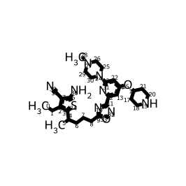 CCc1c(C(C)CCCc2nc(-c3cc(OC4CCNCC4)cc(N4CCN(C)CC4)n3)no2)sc(N)c1C#N